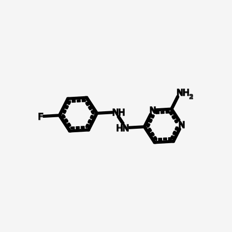 Nc1nccc(NNc2ccc(F)cc2)n1